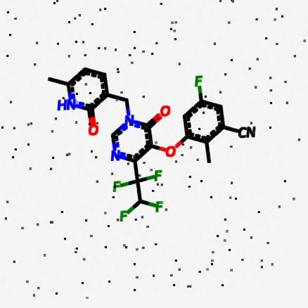 Cc1ccc(Cn2cnc(C(F)(F)C(F)F)c(Oc3cc(F)cc(C#N)c3C)c2=O)c(=O)[nH]1